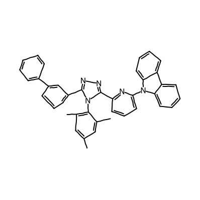 Cc1cc(C)c(-n2c(-c3cccc(-c4ccccc4)c3)nnc2-c2cccc(-n3c4ccccc4c4ccccc43)n2)c(C)c1